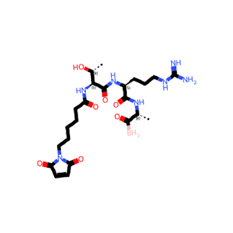 BC(=O)[C@@H](C)NC(=O)[C@H](CCCNC(=N)N)NC(=O)[C@@H](NC(=O)CCCCCN1C(=O)C=CC1=O)[C@@H](C)O